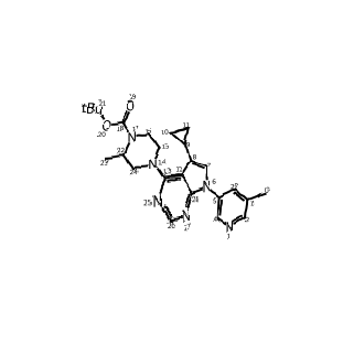 Cc1cncc(-n2cc(C3CC3)c3c(N4CCN(C(=O)OC(C)(C)C)C(C)C4)ncnc32)c1